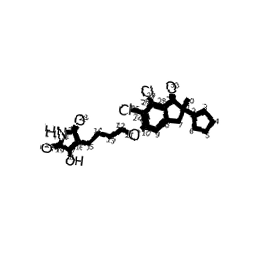 CC1(C2CCCC2)Cc2cc(OCCCCC3=C(O)C(=O)NC3=O)c(Cl)c(Cl)c2C1=O